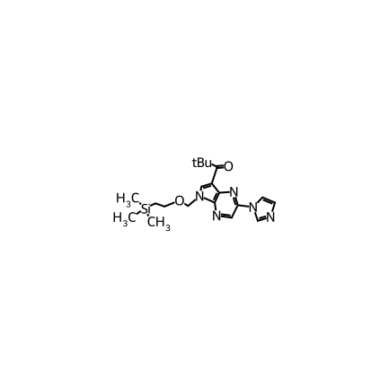 CC(C)(C)C(=O)c1cn(COCC[Si](C)(C)C)c2ncc(-n3ccnc3)nc12